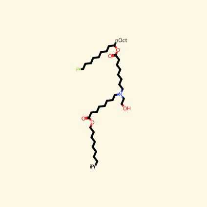 CCCCCCCCC(CCCCCCCCF)OC(=O)CCCCCCCN(CCO)CCCCCCCC(=O)OCCCCCCCCC(C)C